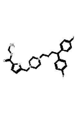 CCOC(=O)c1ccc(CN2CCN(CCCC(c3ccc(F)cc3)c3ccc(F)cc3)CC2)o1